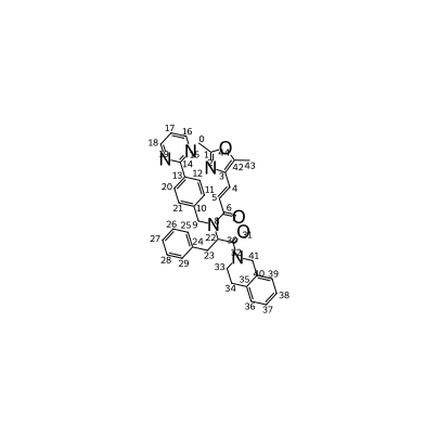 Cc1nc(C=CC(=O)N(Cc2ccc(-c3ncccn3)cc2)C(Cc2ccccc2)C(=O)N2CCc3ccccc3C2)c(C)o1